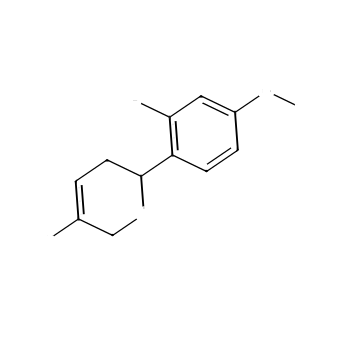 CCOc1ccc(C2CC=C(C)CO2)c(F)c1